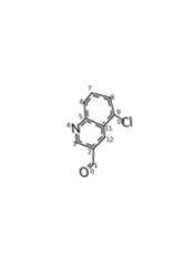 O=Cc1cnc2cccc(Cl)c2c1